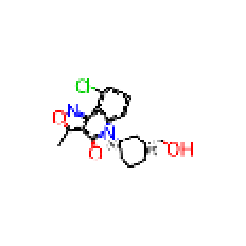 Cc1onc2c1c(=O)n([C@H]1CCC[C@@H](CO)C1)c1cccc(Cl)c21